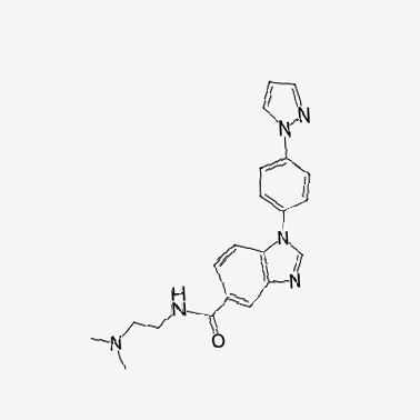 CN(C)CCNC(=O)c1ccc2c(c1)ncn2-c1ccc(-n2cccn2)cc1